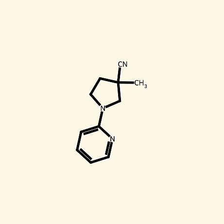 CC1(C#N)CCN(c2ccccn2)C1